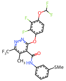 CSc1cccc(NC(=O)c2c(Oc3ccc(OC(F)F)c(F)c3F)nnc(C(F)(F)F)c2C)c1